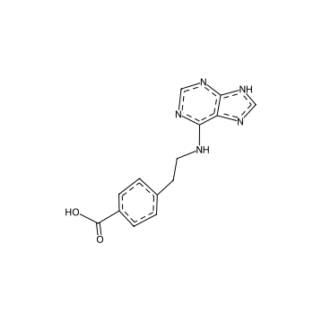 O=C(O)c1ccc(CCNc2ncnc3[nH]cnc23)cc1